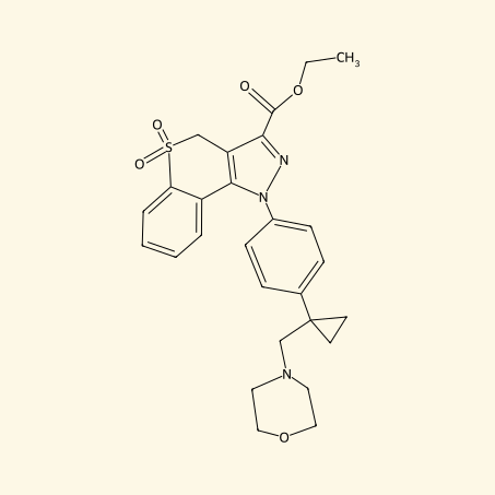 CCOC(=O)c1nn(-c2ccc(C3(CN4CCOCC4)CC3)cc2)c2c1CS(=O)(=O)c1ccccc1-2